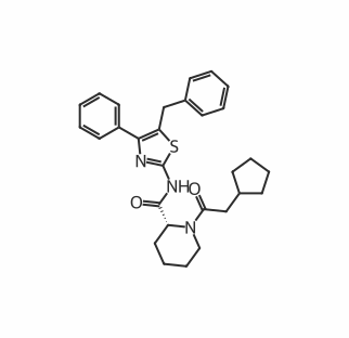 O=C(Nc1nc(-c2ccccc2)c(Cc2ccccc2)s1)[C@H]1CCCCN1C(=O)CC1CCCC1